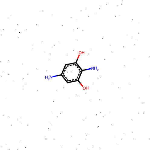 Nc1cc(O)c(N)c(O)c1